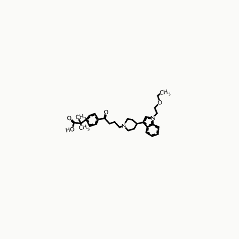 CCOCCn1cc(C2CCN(CCCC(=O)c3ccc(C(C)(C)C(=O)O)cc3)CC2)c2ccccc21